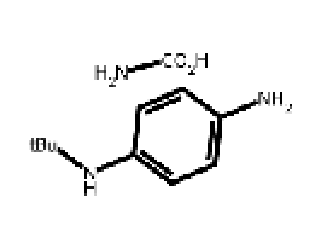 CC(C)(C)Nc1ccc(N)cc1.NC(=O)O